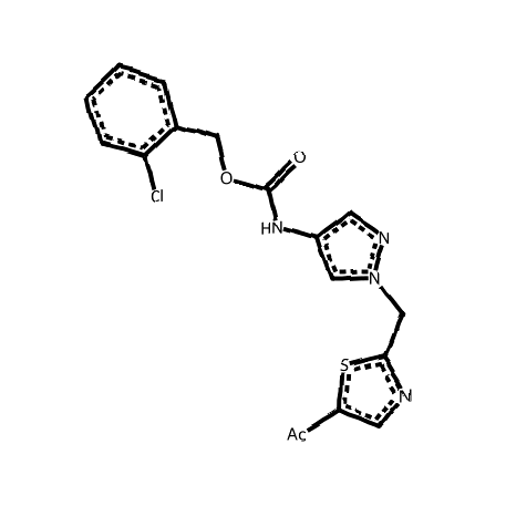 CC(=O)c1cnc(Cn2cc(NC(=O)OCc3ccccc3Cl)cn2)s1